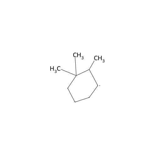 CC1[CH]CCCC1(C)C